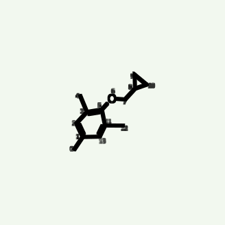 Cc1cc(C)c(OCC2CC2)c(C)c1